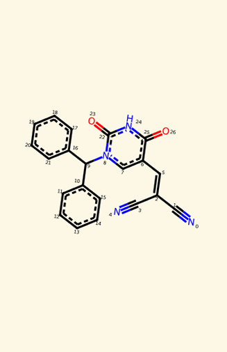 N#CC(C#N)=Cc1cn(C(c2ccccc2)c2ccccc2)c(=O)[nH]c1=O